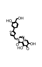 O=c1c(O)cn2ncn(Cc3csc(-c4ccc(CO)c(O)c4)c3)c(=O)c2c1O